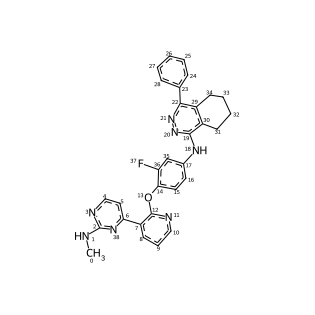 CNc1nccc(-c2cccnc2Oc2ccc(Nc3nnc(-c4ccccc4)c4c3CCCC4)cc2F)n1